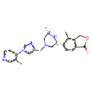 Cc1cnccc1-n1cnc(CN2C[C@@H](c3ccc4c(c3C)COC4=O)N[C@@H](C)C2)c1